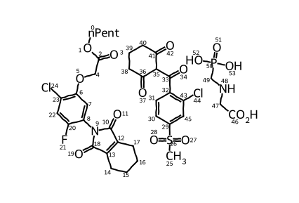 CCCCCOC(=O)COc1cc(N2C(=O)C3=C(CCCC3)C2=O)c(F)cc1Cl.CS(=O)(=O)c1ccc(C(=O)C2C(=O)CCCC2=O)c(Cl)c1.O=C(O)CNCP(=O)(O)O